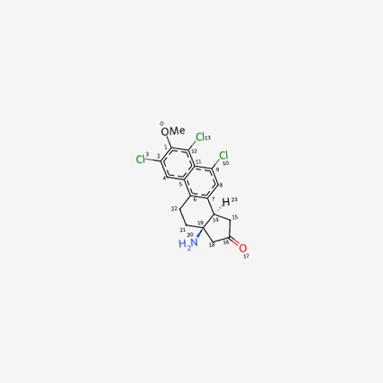 COc1c(Cl)cc2c3c(cc(Cl)c2c1Cl)[C@H]1CC(=O)C[C@]1(N)CC3